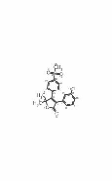 CC1(C)OC(=O)C(c2cccc(Cl)c2)=C1c1ccc(S(C)(=O)=O)cc1